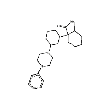 CC1CCCCC1(C(N)=O)C1CCOC(N2CCN(c3ccccc3)CC2)C1